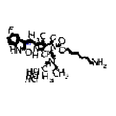 CCN(CC)CCN(C(=O)OCCCCCCN)C(=O)c1c(C)[nH]c(/C=C2\C(=O)Nc3ccc(F)cc32)c1C.Cl.Cl.Cl